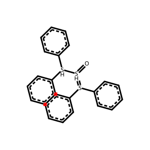 O=[SH](=S(c1ccccc1)c1ccccc1)[SH](c1ccccc1)c1ccccc1